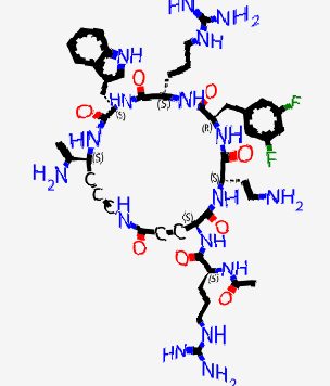 C=C(N)[C@@H]1CCCNC(=O)CC[C@H](NC(=O)[C@H](CCCNC(=N)N)NC(C)=O)C(=O)N[C@@H](CCN)C(=O)N[C@H](Cc2cc(F)cc(F)c2)C(=O)N[C@@H](CCCNC(=N)N)C(=O)N[C@@H](Cc2c[nH]c3ccccc23)C(=O)N1